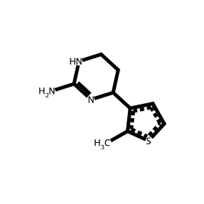 Cc1sccc1C1CCNC(N)=N1